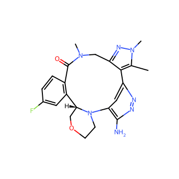 Cc1c2c(nn1C)CN(C)C(=O)c1ccc(F)cc1[C@H]1COCCN1c1cc-2nnc1N